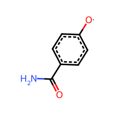 NC(=O)c1ccc([O])cc1